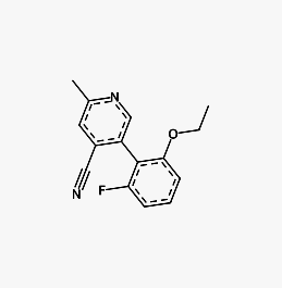 CCOc1cccc(F)c1-c1cnc(C)cc1C#N